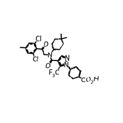 Cc1cc(Cl)c(C(=O)CN(C(=O)c2cnn(C3CCC(C(=O)O)CC3)c2C(F)(F)F)C2CCC(C)(C)CC2)c(Cl)c1